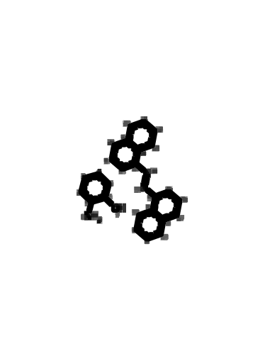 Nc1ccccc1O.c1ccc2c(N=Nc3cccc4ccccc34)cccc2c1